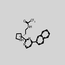 O=C(NCC[C@@]1(c2nccc(-c3ccc4ccccc4c3)n2)CCCN1)C(F)(F)F